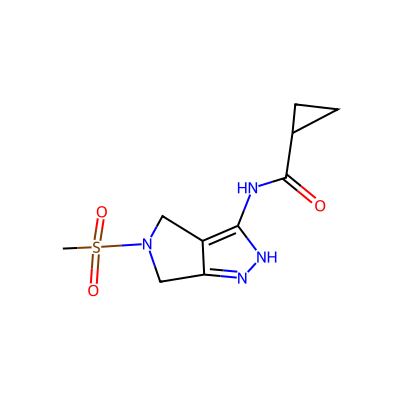 CS(=O)(=O)N1Cc2n[nH]c(NC(=O)C3CC3)c2C1